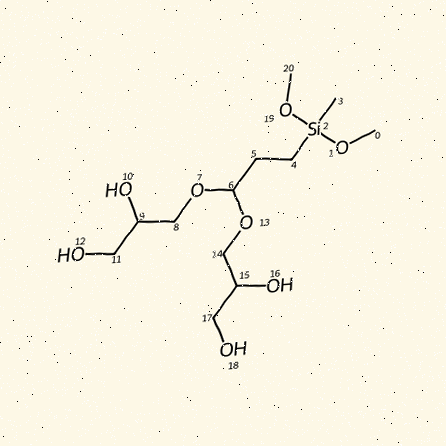 CO[Si](C)(CCC(OCC(O)CO)OCC(O)CO)OC